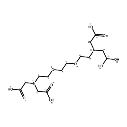 O=C(O)CN(CCOCCOCCN(CC(=O)O)CC(O)O)CC(=O)O